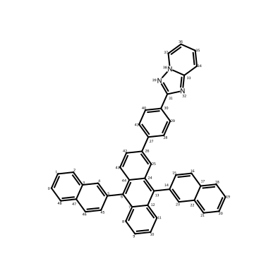 c1ccc2cc(-c3c4ccccc4c(-c4ccc5ccccc5c4)c4cc(-c5ccc(-c6nc7ccccn7n6)cc5)ccc34)ccc2c1